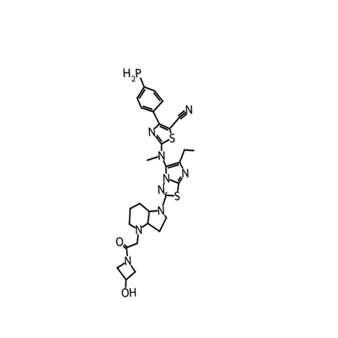 CCc1nc2sc(N3CCC4C3CCCN4CC(=O)N3CC(O)C3)nn2c1N(C)c1nc(-c2ccc(P)cc2)c(C#N)s1